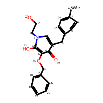 CSc1ccc(Cc2cn(CCO)c(O)c(OCc3ccccc3)c2=O)cc1